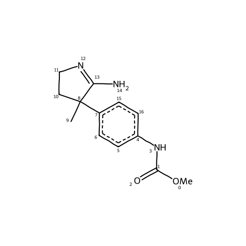 COC(=O)Nc1ccc(C2(C)CCN=C2N)cc1